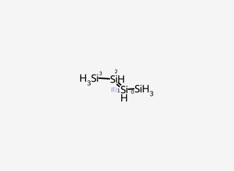 [SiH3]/[SiH]=[SiH]/[SiH3]